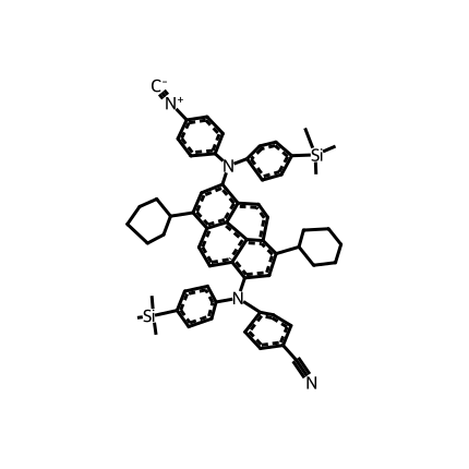 [C-]#[N+]c1ccc(N(c2ccc([Si](C)(C)C)cc2)c2cc(C3CCCCC3)c3ccc4c(N(c5ccc(C#N)cc5)c5ccc([Si](C)(C)C)cc5)cc(C5CCCCC5)c5ccc2c3c54)cc1